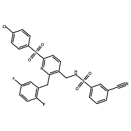 N#Cc1cccc(S(=O)(=O)NCc2ccc(S(=O)(=O)c3ccc(Cl)cc3)nc2Cc2cc(F)ccc2F)c1